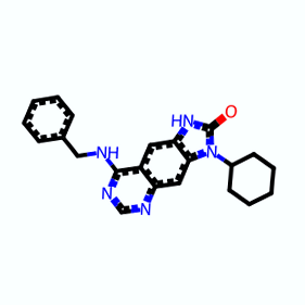 O=c1[nH]c2cc3c(NCc4ccccc4)ncnc3cc2n1C1CCCCC1